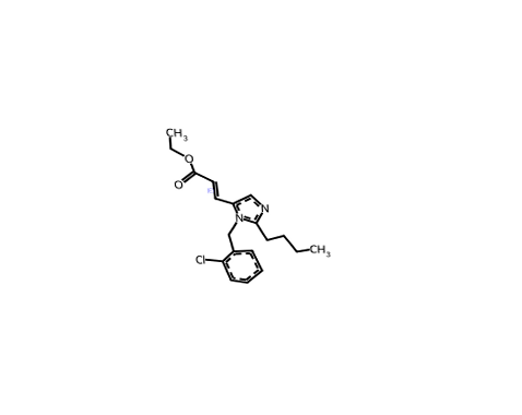 CCCCc1ncc(/C=C/C(=O)OCC)n1Cc1ccccc1Cl